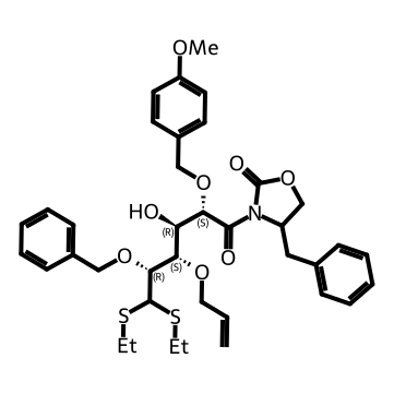 C=CCO[C@@H]([C@@H](O)[C@H](OCc1ccc(OC)cc1)C(=O)N1C(=O)OCC1Cc1ccccc1)[C@@H](OCc1ccccc1)C(SCC)SCC